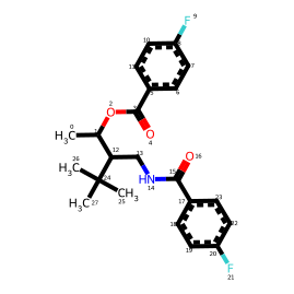 CC(OC(=O)c1ccc(F)cc1)C(CNC(=O)c1ccc(F)cc1)C(C)(C)C